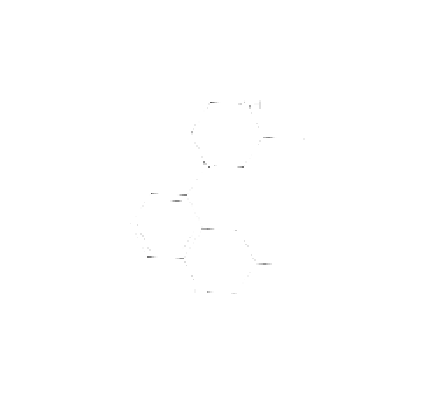 OC1CN(c2cccc3c2OC(Cl)CO3)CCN1